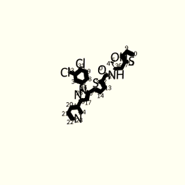 O=C(N[C@H](CO)Cc1cccs1)c1ccc(-c2cc(-c3cccnc3)nn2-c2ccc(Cl)c(Cl)c2)s1